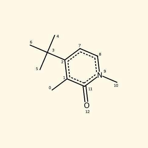 Cc1c(C(C)(C)C)ccn(C)c1=O